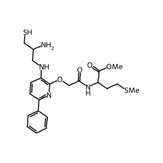 COC(=O)C(CCSC)NC(=O)COc1nc(-c2ccccc2)ccc1NCC(N)CS